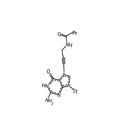 CCn1cc(C#CCNC(=O)C(C)C)c2c(=O)[nH]c(N)nc21